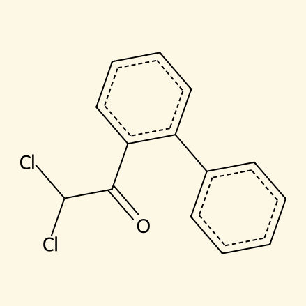 O=C(c1ccccc1-c1ccccc1)C(Cl)Cl